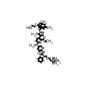 COC(=O)c1nc(N(C)c2cc(C)c(/N=c3\sc4ccccc4n3COCC[Si](C)(C)C)nn2)ccc1-c1cnn(CC23CC4(C)CC(C)(C2)CC(OCCO)(C4)C3)c1C